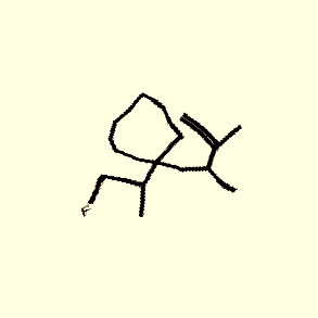 C=C(C)C(C)CC1(C(C)CF)CCCCC1